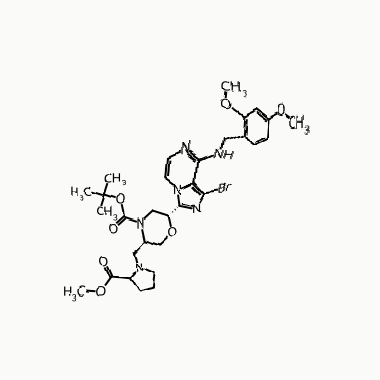 COC(=O)C1CCCN1C[C@@H]1CO[C@@H](c2nc(Br)c3c(NCc4ccc(OC)cc4OC)nccn23)CN1C(=O)OC(C)(C)C